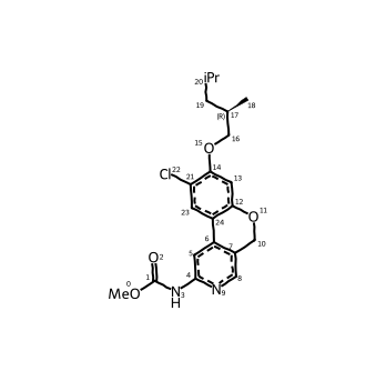 COC(=O)Nc1cc2c(cn1)COc1cc(OC[C@H](C)CC(C)C)c(Cl)cc1-2